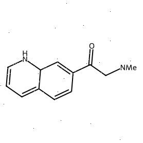 CNCC(=O)C1=CC2NC=CC=C2C=C1